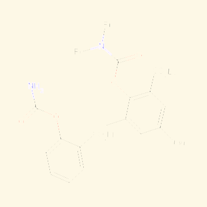 CCOC(=O)c1cc(C(C)(C)C)cc(C)c1OC(=O)N(CC)CC.CCOC(=O)c1ccccc1OC(N)=O